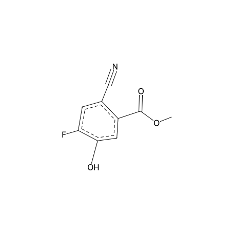 COC(=O)c1cc(O)c(F)cc1C#N